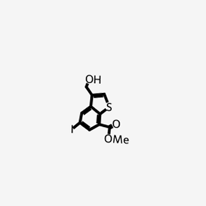 COC(=O)c1cc(I)cc2c(CO)csc12